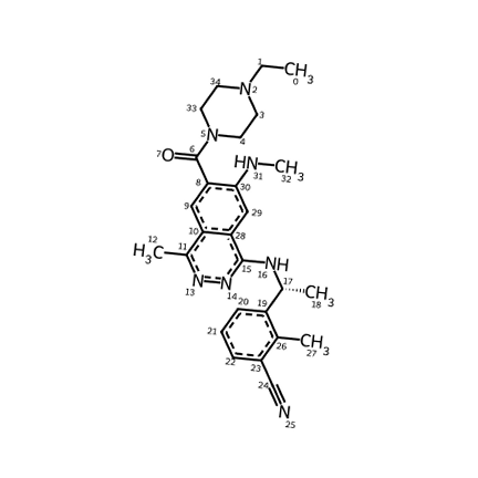 CCN1CCN(C(=O)c2cc3c(C)nnc(N[C@H](C)c4cccc(C#N)c4C)c3cc2NC)CC1